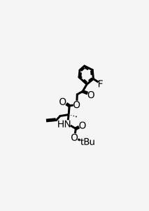 C=CC[C@](C)(NC(=O)OC(C)(C)C)C(=O)OCC(=O)c1ccccc1F